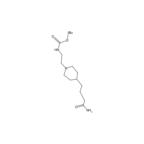 CC(C)(C)OC(=O)NCCN1CCC(CCCC(N)=O)CC1